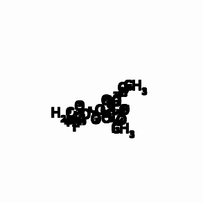 C=C(C(=O)OCC(=O)OC1OC2C(C)OC(=O)C2C1C(=O)OCCOC)C(F)(F)F